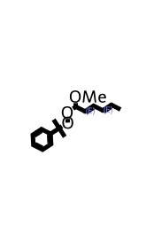 C/C=C/C=C/C(OC)OOC(C)(C)c1ccccc1